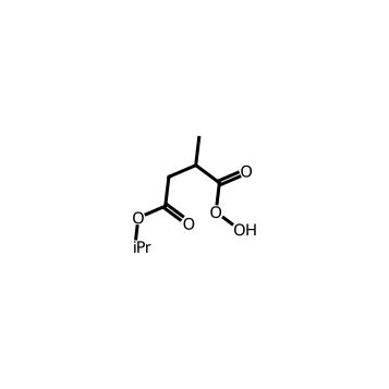 CC(C)OC(=O)CC(C)C(=O)OO